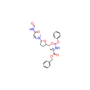 C[C@@H](NP(OCC1CCC(N(C)/C=C\C(=O)NC=O)O1)Oc1ccccc1)C(=O)OCc1ccccc1